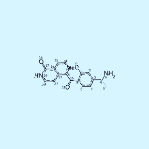 COc1cc([C@@H](C)N)ccc1C(=O)c1cccc2c(=O)[nH]ccc12